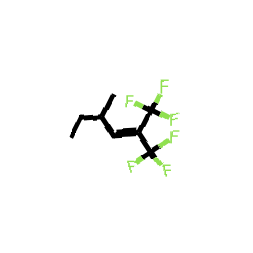 CCC(C)C=C(C(F)(F)F)C(F)(F)F